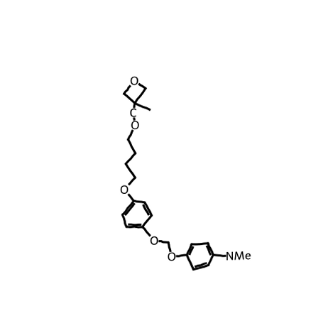 CNc1ccc(OCOc2ccc(OCCCCOCC3(C)COC3)cc2)cc1